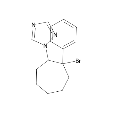 BrC1(c2ccccc2)CCCCCC1n1cncn1